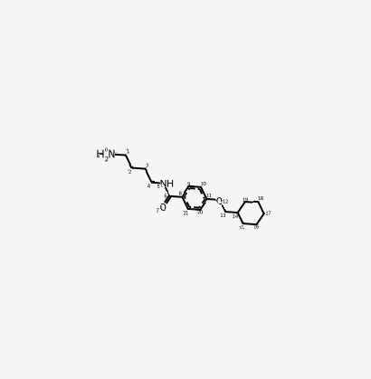 NCCCCNC(=O)c1ccc(OCC2CCCCC2)cc1